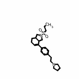 CCCS(=O)(=O)N1CC2CCC=C(c3ccc(CCN4CCCC4)cc3)C2C1